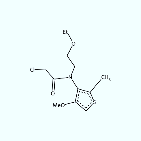 CCOCCN(C(=O)CCl)c1c(OC)csc1C